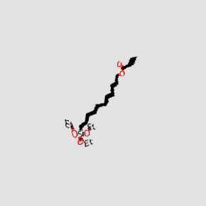 C=CC(=O)OCCCCCCCCCCC[Si](OCC)(OCC)OCC